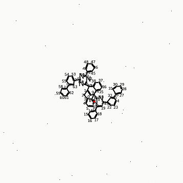 C1=C2Cc3ccccc3C1(c1nc(-c3ccccc3)cc(-c3cccc(-c4ccccc4)c3)n1)c1ccccc1C2c1nc(-c2ccccc2)nc(-c2cccc(-c3ccccc3)c2)n1